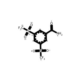 NC(=O)c1cc(S(=O)(=O)C(F)(F)F)cc(S(=O)(=O)C(F)(F)F)c1